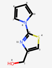 OCc1csc(-n2cccc2)n1